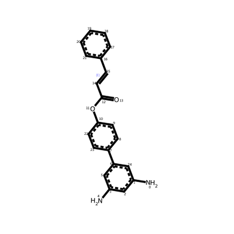 Nc1cc(N)cc(-c2ccc(OC(=O)/C=C/c3ccccc3)cc2)c1